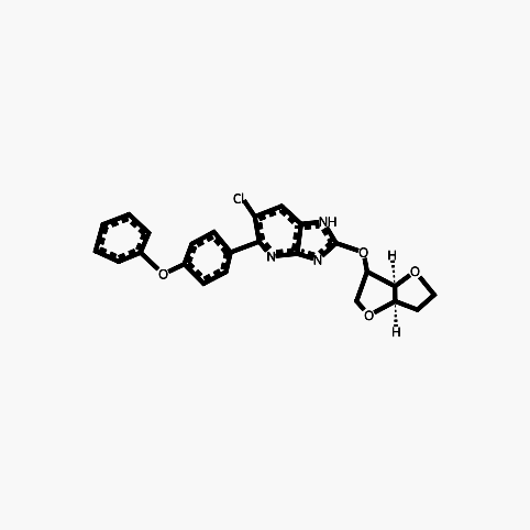 Clc1cc2[nH]c(OC3CO[C@@H]4CCO[C@H]34)nc2nc1-c1ccc(Oc2ccccc2)cc1